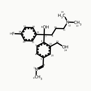 C/N=C/c1ccc(C(O)(CCCN(C)C)c2ccc(F)cc2)c(CO)c1